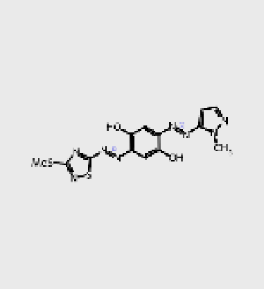 CSc1nsc(/N=N/c2cc(O)c(/N=N/c3ccnn3C)cc2O)n1